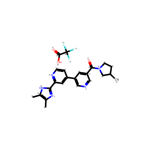 Cc1nc(-c2cc(-c3cncc(C(=O)N4CCC(C#N)C4)c3)ccn2)[nH]c1C.O=C(O)C(F)(F)F